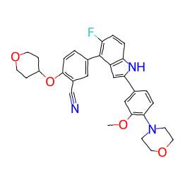 COc1cc(-c2cc3c(-c4ccc(OC5CCOCC5)c(C#N)c4)c(F)ccc3[nH]2)ccc1N1CCOCC1